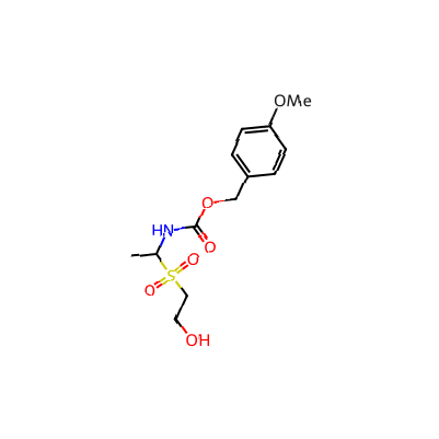 COc1ccc(COC(=O)NC(C)S(=O)(=O)CCO)cc1